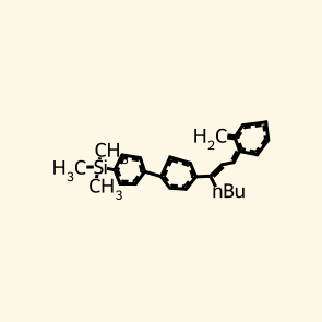 C=c1cccc/c1=C/C=C(\CCCC)c1ccc(-c2ccc([Si](C)(C)C)cc2)cc1